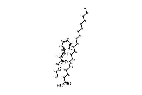 CCCCCCCCCCCCCCCCCCCC(=O)O.CCOCC(=O)O.Oc1ccccc1